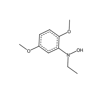 CCN(O)c1cc(OC)ccc1OC